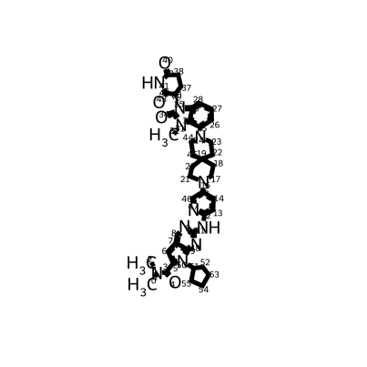 CN(C)C(=O)c1cc2cnc(Nc3ccc(N4CCC5(CC4)CCN(c4cccc6c4n(C)c(=O)n6[C@@H]4CCC(=O)NC4=O)CC5)cn3)nc2n1C1CCCC1